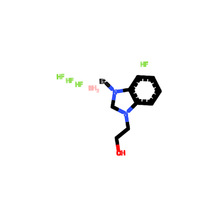 B.CCN1CN(CCO)c2ccccc21.F.F.F.F